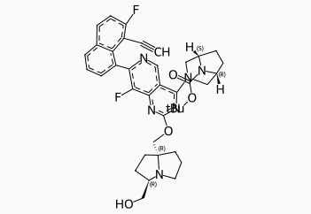 C#Cc1c(F)ccc2cccc(-c3ncc4c(N5C[C@H]6CC[C@@H](C5)N6C(=O)OC(C)(C)C)nc(OC[C@]56CCCN5[C@@H](CO)CC6)nc4c3F)c12